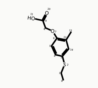 CCSc1ccc(OCC(=O)O)c(C)c1